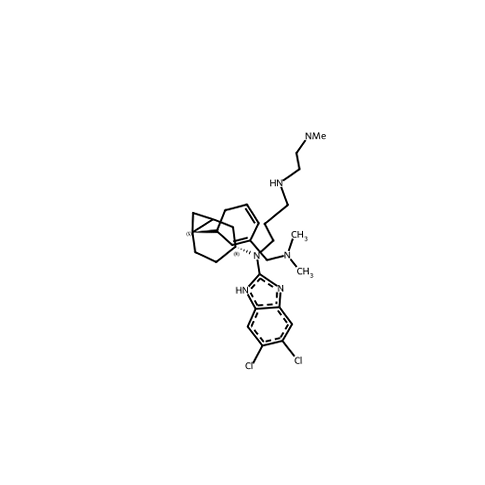 CNCCNCCCN(c1nc2cc(Cl)c(Cl)cc2[nH]1)[C@@H]1CC[C@]2(C3C=C(CN(C)C)C=CC3)CC2C1